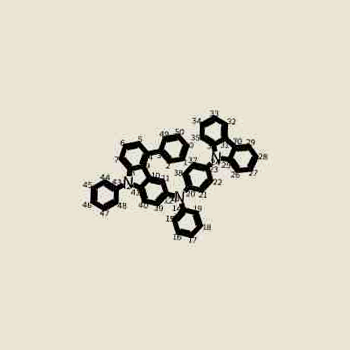 c1ccc(-c2cccc3c2c2cc(N(c4ccccc4)c4ccc(-n5c6ccccc6c6ccccc65)cc4)ccc2n3-c2ccccc2)cc1